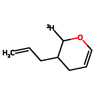 [2H]C1OC=CCC1CC=C